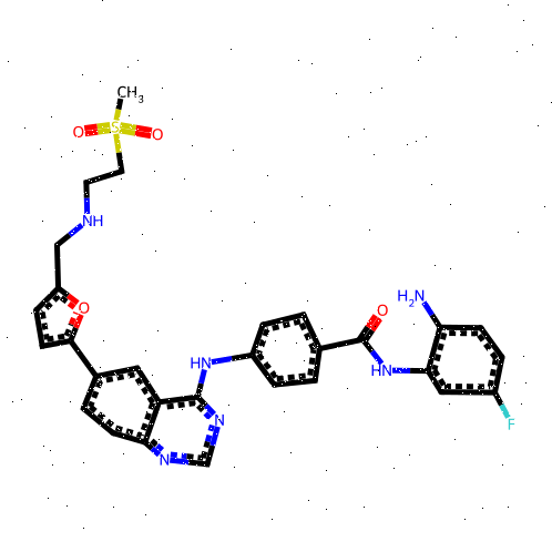 CS(=O)(=O)CCNCc1ccc(-c2ccc3ncnc(Nc4ccc(C(=O)Nc5cc(F)ccc5N)cc4)c3c2)o1